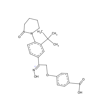 CC(C)(C)c1cc(/C(COc2ccc(C(=O)O)cc2)=N/O)ccc1N1CCCCC1=O